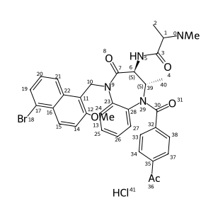 CNC(C)C(=O)N[C@@H]1C(=O)N(Cc2c(OC)ccc3c(Br)cccc23)c2ccccc2N(C(=O)c2ccc(C(C)=O)cc2)[C@H]1C.Cl